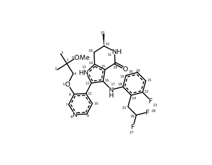 COC(C)(C)COc1cnccc1-c1[nH]c2c(c1Nc1cccc(F)c1CC(F)F)C(=O)N[C@H](C)C2